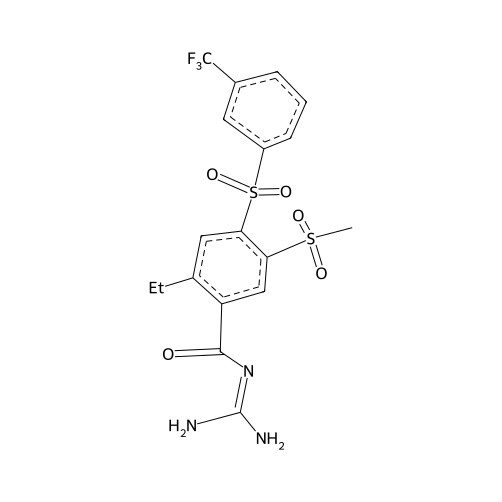 CCc1cc(S(=O)(=O)c2cccc(C(F)(F)F)c2)c(S(C)(=O)=O)cc1C(=O)N=C(N)N